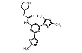 Cc1cc(C)n(-c2cc(NC(=O)O[C@H]3CCNC3)nc(-c3ccc(C)o3)n2)n1